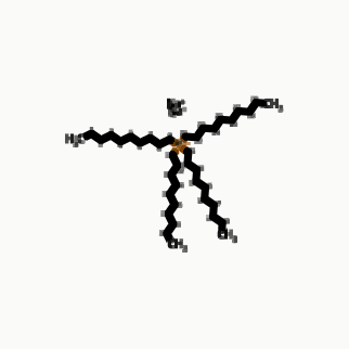 CCCCCCCCCC[S-2](CCCCCCCCCC)(CCCCCCCCCC)CCCCCCCCCC.[Na+].[Na+]